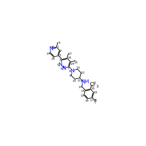 Cc1cc(-c2nnc(N3CCC(NCc4ccc(F)cc4C(F)(F)F)CC3)c(C)c2C)ccn1